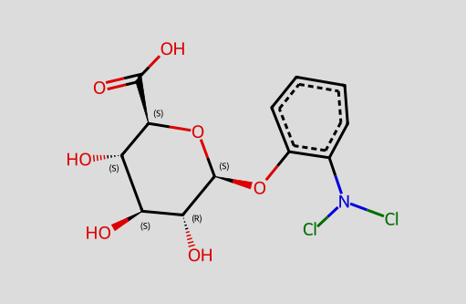 O=C(O)[C@H]1O[C@@H](Oc2ccccc2N(Cl)Cl)[C@H](O)[C@@H](O)[C@@H]1O